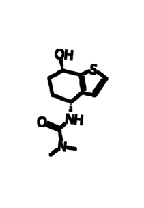 CN(C)C(=O)N[C@@H]1CC[C@@H](O)c2sccc21